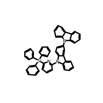 c1ccc([Si](c2ccccc2)(c2ccccc2)c2cccc(-n3c4ccccc4c4cc(-n5c6ccccc6c6ccccc65)ccc43)n2)cc1